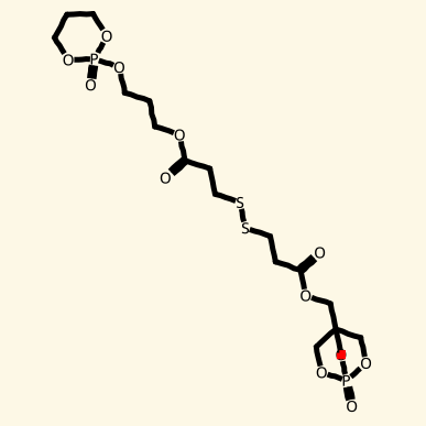 O=C(CCSSCCC(=O)OCC12COP(=O)(OC1)OC2)OCCCOP1(=O)OCCCO1